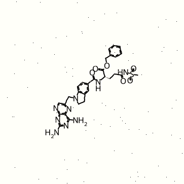 CS(=O)(=O)NC(=O)CC[C@H](NC(=O)c1ccc2c(c1)CCN2Cc1cnc2nc(N)nc(N)c2n1)C(=O)OCc1ccccc1